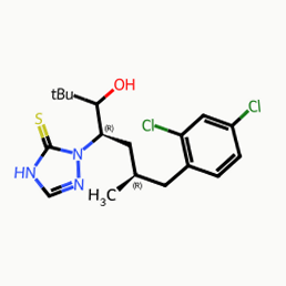 C[C@H](Cc1ccc(Cl)cc1Cl)C[C@H](C(O)C(C)(C)C)n1nc[nH]c1=S